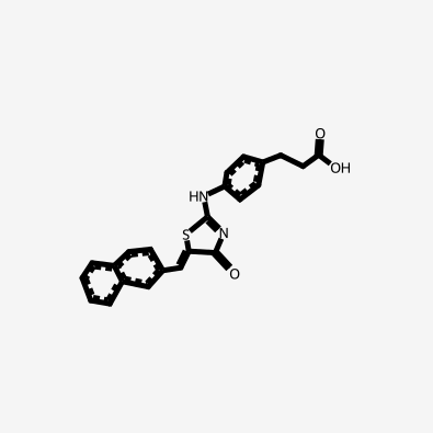 O=C(O)CCc1ccc(NC2=NC(=O)/C(=C/c3ccc4ccccc4c3)S2)cc1